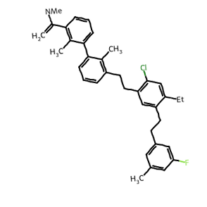 C=C(NC)c1cccc(-c2cccc(CCc3cc(CCc4cc(C)cc(F)c4)c(CC)cc3Cl)c2C)c1C